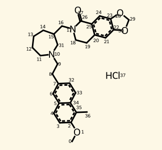 COc1ccc2cc(CCN3CCCCC(CN4CCc5cc6c(cc5C4=O)OCO6)C3)ccc2c1C.Cl